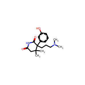 CN(C)CCCC1(c2cccc(O)c2)C(=O)NC(=O)CC1(C)C